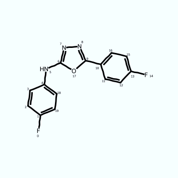 Fc1ccc(Nc2nnc(-c3ccc(F)cc3)o2)cc1